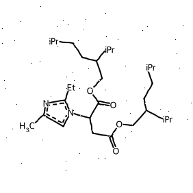 CCc1nc(C)cn1C(CC(=O)OCC(CCC(C)C)C(C)C)C(=O)OCC(CCC(C)C)C(C)C